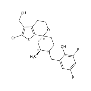 C[C@H]1C[C@@]2(CCN1Cc1cc(F)cc(F)c1O)OCCc1c2sc(Cl)c1CO